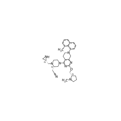 Cc1cccc2cccc(N3CCc4c(nc(OC[C@@H]5CCCN5C)nc4N4CCN(C[C@@H]5CN5)[C@@H](CC#N)C4)C3)c12